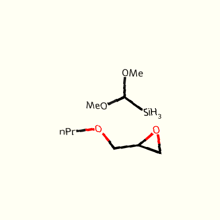 COC([SiH3])OC.[CH2]CCOCC1CO1